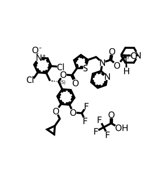 O=C(O)C(F)(F)F.O=C(O[C@@H](Cc1c(Cl)c[n+]([O-])cc1Cl)c1ccc(OC(F)F)c(OCC2CC2)c1)c1ccc(CN(C(=O)O[C@H]2CN3CCC2CC3)c2ccccn2)s1